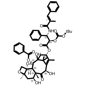 CC(=O)O[C@@]12CO[C@]1(C)C[C@H](O)[C@@]1(C)C(=O)[C@H](O)C3=C(C)[C@@H](OC(=O)[C@H](OC(=O)OC(C)(C)C)[C@@H](NC(=O)/C(C)=C/c4ccccc4)c4ccccc4)CC(O)([C@@H](OC(=O)c4ccccc4)[C@@H]12)C3(C)C